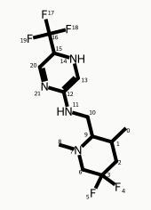 CC1CC(F)(F)CN(C)C1CNC1=CNC(C(F)(F)F)C=N1